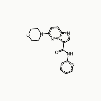 O=C(Nc1ccccn1)c1cnc2ccc(N3CCOCC3)nn12